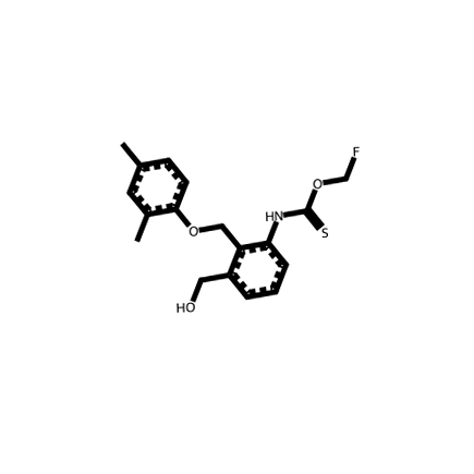 Cc1ccc(OCc2c(CO)cccc2NC(=S)OCF)c(C)c1